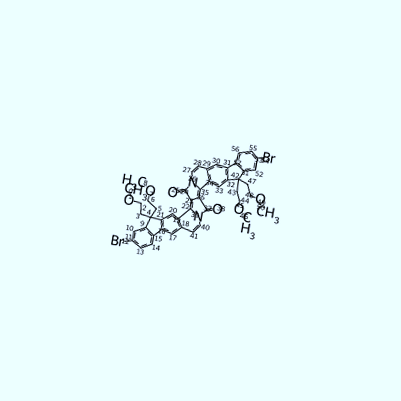 COCCC1(CCOC)c2cc(Br)ccc2-c2cc3c(cc21)C1=C2C(=O)N4C=Cc5cc6c(cc5C4=C2C(=O)N1C=C3)C(CCOC)(CCOC)c1cc(Br)ccc1-6